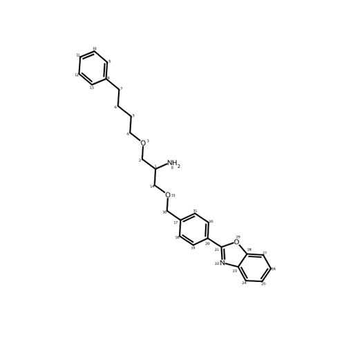 NC(COCCCCc1ccccc1)COCc1ccc(-c2nc3ccccc3o2)cc1